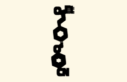 CCC(=O)CC[C@H]1CC[C@H](COc2ccc(C#N)cc2)CC1